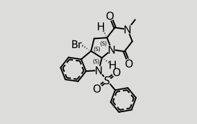 CN1CC(=O)N2[C@@H](C[C@]3(Br)c4ccccc4N(S(=O)(=O)c4ccccc4)[C@H]23)C1=O